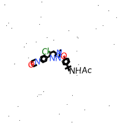 CC(=O)NCC(C)(C)c1ccc(Oc2nc3c(n2C)CC(Cl)C(c2ccc(N4CCOCC4)cc2)=N3)cc1